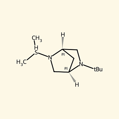 C[SH](C)N1C[C@H]2C[C@@H]1CN2C(C)(C)C